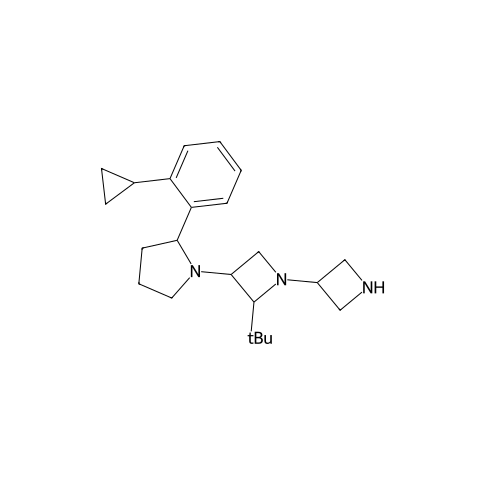 CC(C)(C)C1C(N2CCCC2c2ccccc2C2CC2)CN1C1CNC1